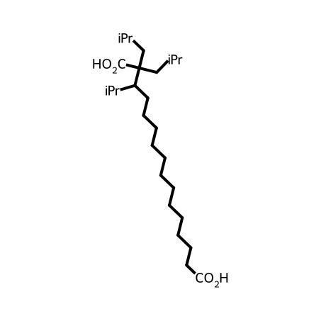 CC(C)CC(CC(C)C)(C(=O)O)C(CCCCCCCCCCCCC(=O)O)C(C)C